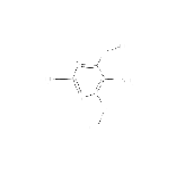 CCCOc1nc(N)nc(OCC)c1N